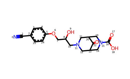 N#Cc1ccc(OCC(O)CN2CC3CN(C(=O)O)CC(C2)C3=O)cc1